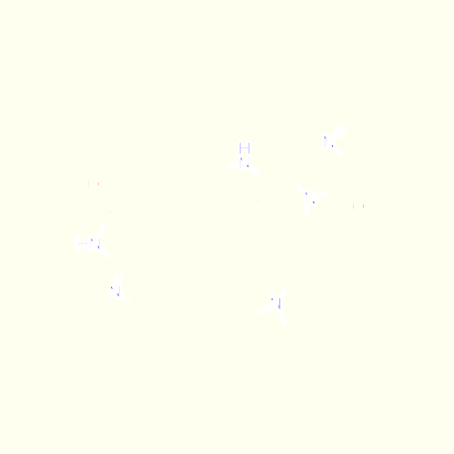 O=C(CN(Cc1ccccc1CN1CCC1)C(=O)c1cscn1)Nc1ccc2c(c1)CC1(C2)C(=O)Nc2ncccc21